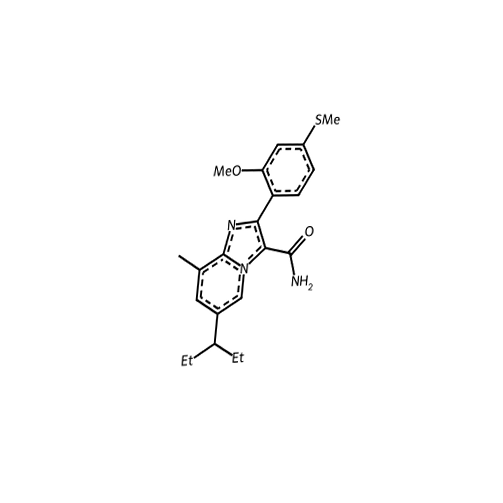 CCC(CC)c1cc(C)c2nc(-c3ccc(SC)cc3OC)c(C(N)=O)n2c1